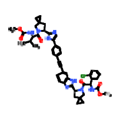 COC(=O)N[C@H](C(=O)N1CC2(CC2)C[C@H]1c1ncc(-c2ccc(C#Cc3ccc4nc([C@@H]5CC6(CC6)CN5C(=O)[C@H](NC(=O)OC)c5ccccc5Cl)[nH]c4c3)cc2)[nH]1)C(C)C